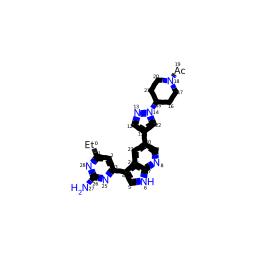 CCc1cc(-c2c[nH]c3ncc(-c4cnn(C5CCN(C(C)=O)CC5)c4)cc23)nc(N)n1